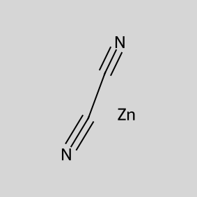 N#CC#N.[Zn]